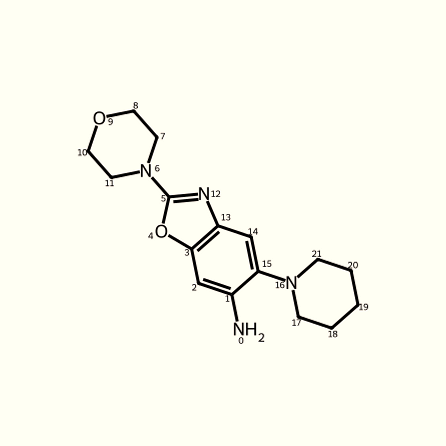 Nc1cc2oc(N3CCOCC3)nc2cc1N1CCCCC1